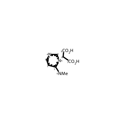 CNc1ccncn1.O=C(O)CC(=O)O